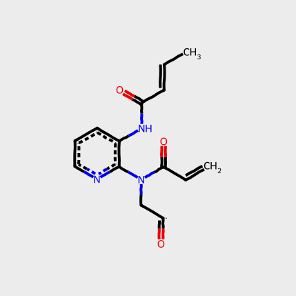 C=CC(=O)N(C[C]=O)c1ncccc1NC(=O)/C=C/C